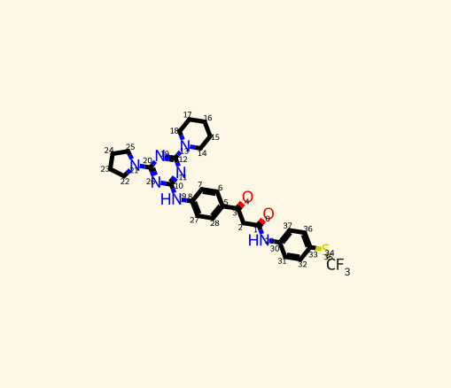 O=C(CC(=O)c1ccc(Nc2nc(N3CCCCC3)nc(N3CCCC3)n2)cc1)Nc1ccc(SC(F)(F)F)cc1